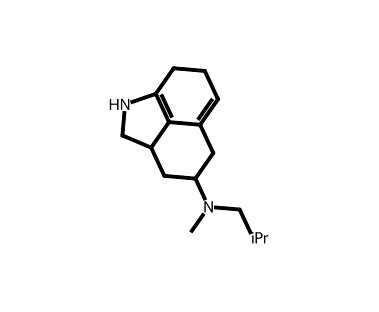 CC(C)CN(C)C1CC2=CCCC3=C2C(CN3)C1